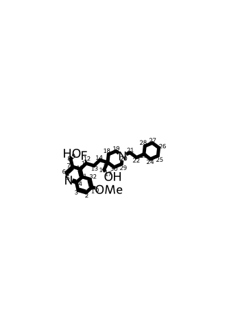 COc1ccc2ncc(CO)c([C@H](F)CCC3(CO)CCN(CCC4CCCCC4)CC3)c2c1